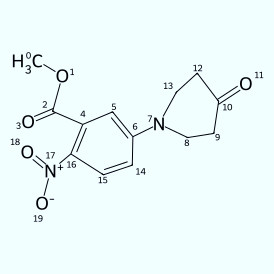 COC(=O)c1cc(N2CCC(=O)CC2)ccc1[N+](=O)[O-]